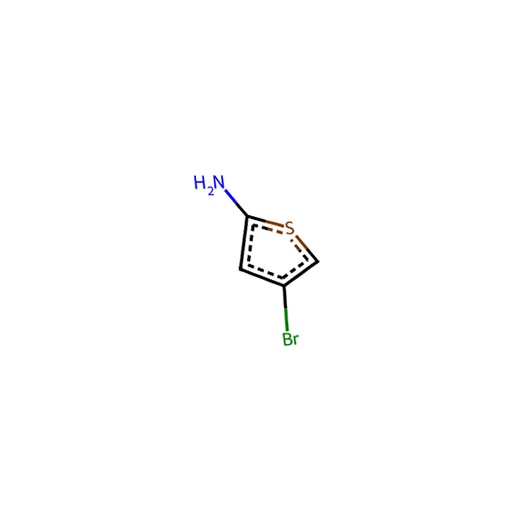 Nc1cc(Br)cs1